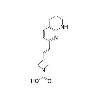 O=C(O)N1CC(C=Cc2ccc3c(n2)NCCC3)C1